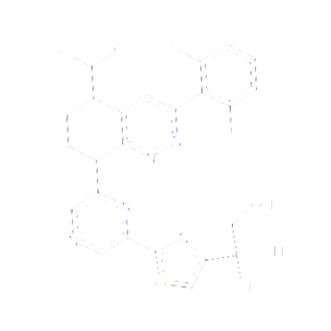 CC(C)C1CCC(c2cncc(-c3nc([C@](C)(O)CO)co3)n2)c2nnc(-c3c(F)cccc3F)cc21